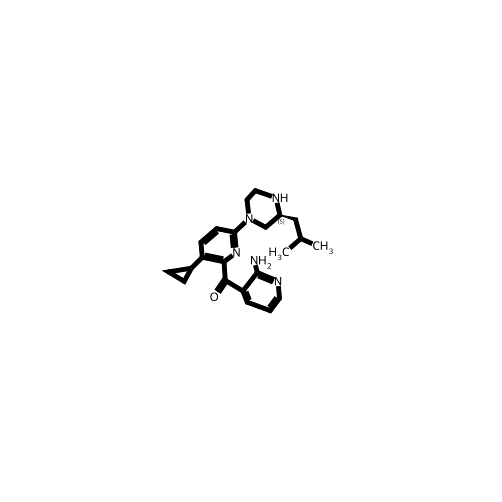 CC(C)C[C@H]1CN(c2ccc(C3CC3)c(C(=O)c3cccnc3N)n2)CCN1